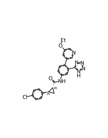 CCOc1cncc(-c2ccc(NC(=O)[C@@H]3C[C@H]3c3ccc(Cl)cc3)cc2-c2nnn[nH]2)c1